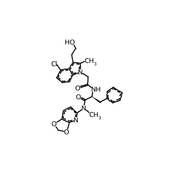 Cc1c(CCO)c2c(Cl)cccc2n1CC(=O)N[C@@H](Cc1ccccc1)C(=O)N(C)c1ccc2c(n1)OCO2